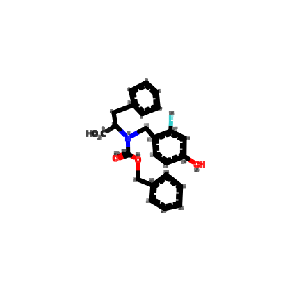 O=C(O)C(Cc1ccccc1)N(Cc1ccc(O)cc1F)C(=O)OCc1ccccc1